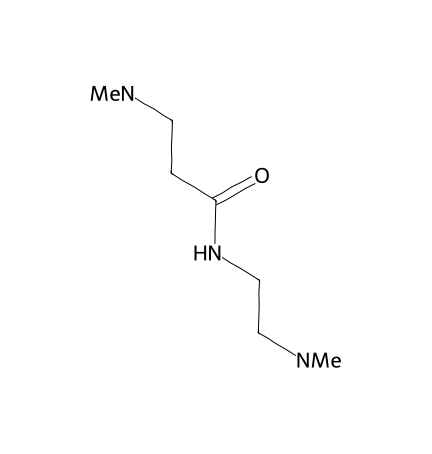 CNCCNC(=O)CCNC